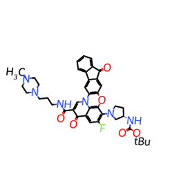 CN1CCN(CCCNC(=O)c2cn3c4cc5c(cc4oc4c(N6CC[C@H](NC(=O)OC(C)(C)C)C6)c(F)cc(c2=O)c43)c(=O)c2ccccc25)CC1